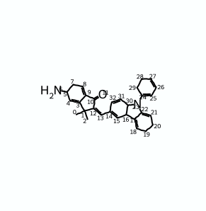 CC1(C)C2=CC(N)CC=C2C(=O)/C1=C\C1=CC2C3=CCCC=C3N(C3=CC=CCC3)C2C=C1